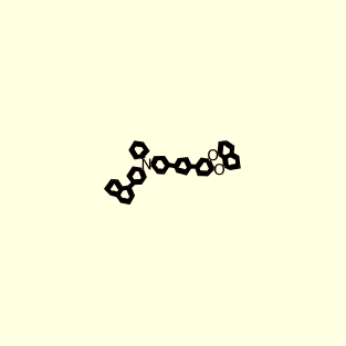 c1ccc(N(c2ccc(-c3ccc(-c4ccc5c(c4)Oc4cccc6cccc(c46)O5)cc3)cc2)c2ccc(-c3cccc4ccccc34)cc2)cc1